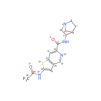 O=C(NC1CN2CCC1C2)c1cc2sc(NC(=O)C(F)(F)F)cc2cn1